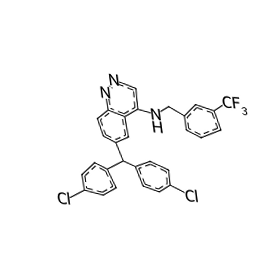 FC(F)(F)c1cccc(CNc2cnnc3ccc(C(c4ccc(Cl)cc4)c4ccc(Cl)cc4)cc23)c1